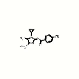 CCOC(=O)C1SC(=NC(=O)c2ccc(C#N)cc2)N(C2CC2)C1C